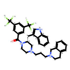 O=C(c1cc(C(F)(F)F)cc(C(F)(F)F)c1)N1CCN(CCCN2CCc3ccccc3C2)C[C@H]1Cc1c[nH]c2ccccc12